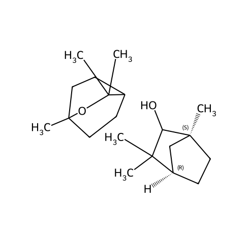 CC1(C)C(O)[C@@]2(C)CC[C@@H]1C2.CC12CCC(CC1)C(C)(C)O2